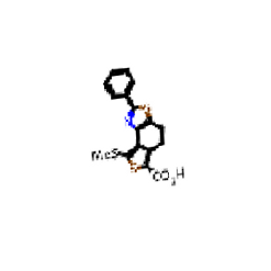 CSc1sc(C(=O)O)c2c1-c1nc(-c3ccccc3)sc1CC2